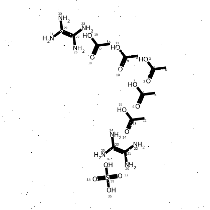 CC(=O)O.CC(=O)O.CC(=O)O.CC(=O)O.CC(=O)O.NC(N)=C(N)N.NC(N)=C(N)N.O=S(=O)(O)O